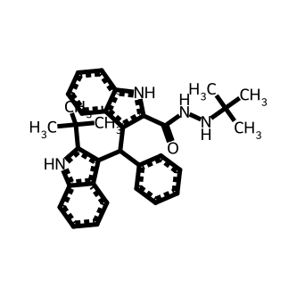 CC(C)(C)NNC(=O)c1[nH]c2ccccc2c1C(c1ccccc1)c1c(C(C)(C)C)[nH]c2ccccc12